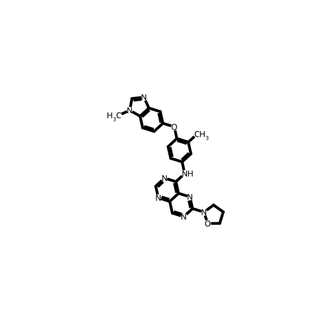 Cc1cc(Nc2ncnc3cnc(N4CCCO4)nc23)ccc1Oc1ccc2c(c1)ncn2C